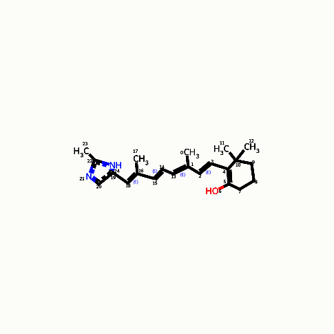 CC(/C=C/C1=C(O)CCCC1(C)C)=C\C=C\C(C)=C\c1cnc(C)[nH]1